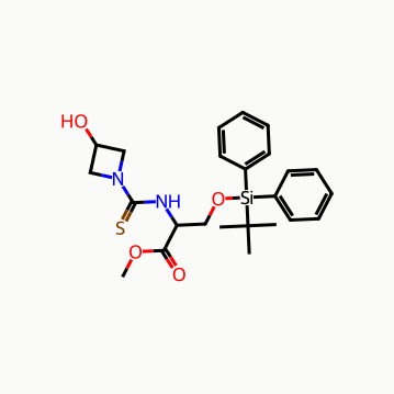 COC(=O)C(CO[Si](c1ccccc1)(c1ccccc1)C(C)(C)C)NC(=S)N1CC(O)C1